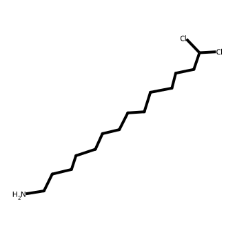 NCCCCCCCCCCCCCC(Cl)Cl